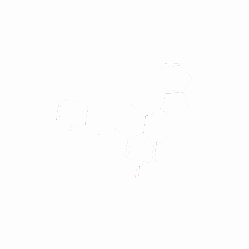 Cn1c(=O)[nH]c(NCc2ccccc2)c(C(=N)N2CCc3ncccc32)c1=O